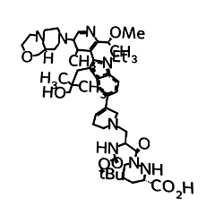 CCn1c(C2=C([C@H](C)OC)N=CC(N3CCN4CCOC[C@@H]4C3)C2C)c(CC(C)(C)CO)c2cc(C3=CCCN(C[C@H](NC(=O)OC(C)(C)C)C(=O)N4CCC[C@@H](C(=O)O)N4)C3)ccc21